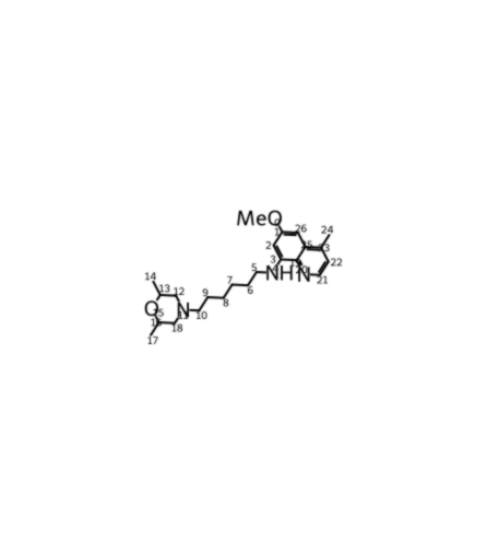 COc1cc(NCCCCCCN2CC(C)OC(C)C2)c2nccc(C)c2c1